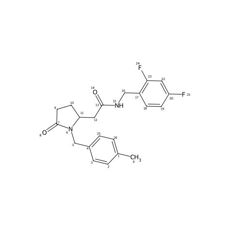 Cc1ccc(CN2C(=O)CCC2CC(=O)NCc2ccc(F)cc2F)cc1